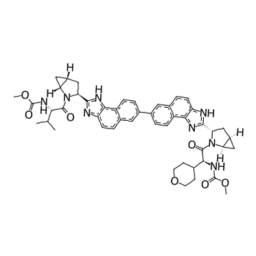 COC(=O)N[C@H](C(=O)N1[C@@H]2C[C@@H]2C[C@H]1c1nc2ccc3cc(-c4ccc5c(ccc6[nH]c([C@@H]7C[C@H]8C[C@H]8N7C(=O)[C@@H](NC(=O)OC)C7CCOCC7)nc65)c4)ccc3c2[nH]1)C(C)C